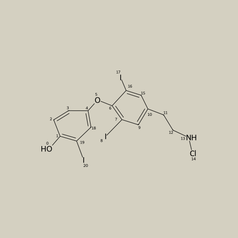 Oc1ccc(Oc2c(I)cc(CCNCl)cc2I)cc1I